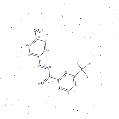 C[Si](C)(C)c1cccc(C(=O)/C=C/c2ccc(C(=O)O)cc2)c1